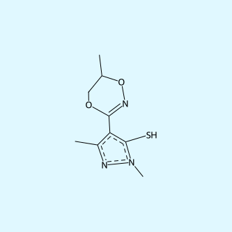 Cc1nn(C)c(S)c1C1=NOC(C)CO1